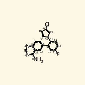 Nc1ncnc2ccc(-c3cc(F)cnc3C3C=CC(Cl)=C3)cc12